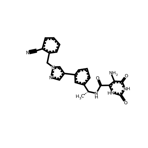 C[C@@H](NC(=O)c1[nH]c(=O)[nH]c(=O)c1N)c1cccc(-c2cnn(Cc3ccccc3C#N)c2)c1